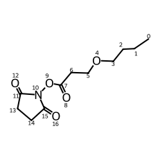 CCCCOCCC(=O)ON1C(=O)CCC1=O